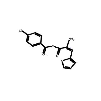 C=C(OC(=O)/C(N)=C\c1cccs1)c1ccc(Cl)cc1